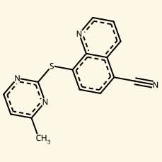 Cc1ccnc(Sc2ccc(C#N)c3cccnc23)n1